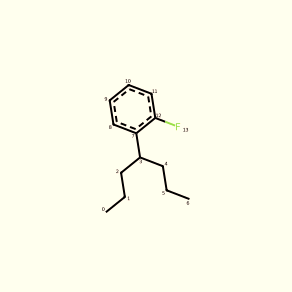 CCCC(CCC)c1ccccc1F